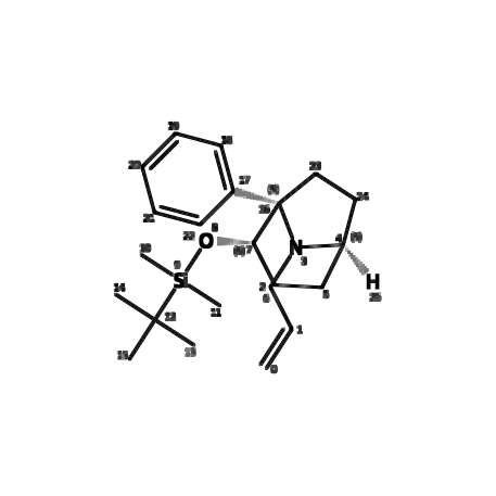 C=CCN1[C@@H]2CC[C@H](O[Si](C)(C)C(C)(C)C)[C@@]1(c1ccccc1)CC2